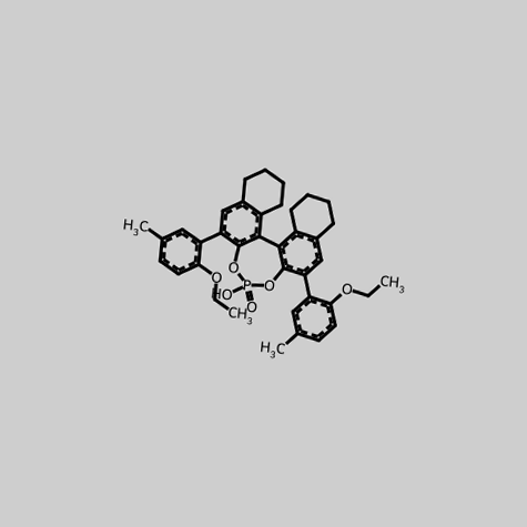 CCOc1ccc(C)cc1-c1cc2c(c3c1OP(=O)(O)Oc1c(-c4cc(C)ccc4OCC)cc4c(c1-3)CCCC4)CCCC2